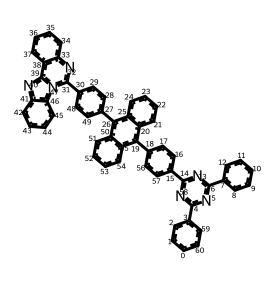 c1ccc(-c2nc(-c3ccccc3)nc(-c3ccc(-c4c5ccccc5c(-c5ccc(-c6nc7ccccc7c7nc8ccccc8n67)cc5)c5ccccc45)cc3)n2)cc1